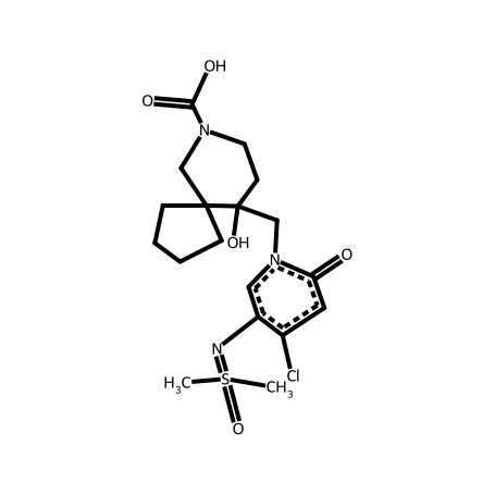 CS(C)(=O)=Nc1cn(CC2(O)CCN(C(=O)O)CC23CCCC3)c(=O)cc1Cl